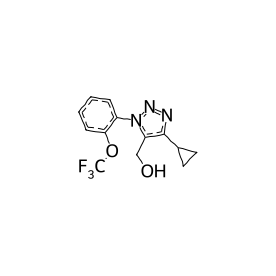 OCc1c(C2CC2)nnn1-c1ccccc1OC(F)(F)F